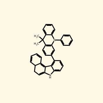 CC1(C)c2ccccc2N(c2ccccc2)c2cc(-c3cccc4[nH]c5c(c34)=C3C=CC=CC3CC=5)ccc21